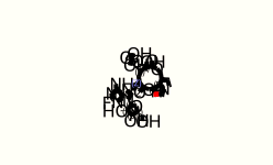 C/C=C1/C[C@@H](C)[C@@](C)(O)C(=O)OCC2=CCN3CC[C@@H](OC1=O)[C@@H]23.Nc1nc(F)nc2c1ncn2[C@@H]1O[C@H](CO)[C@@H](O)[C@@H]1O.O=S(=O)(O)O